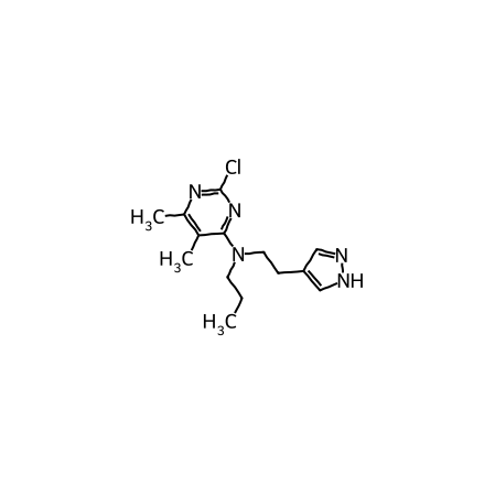 CCCN(CCc1cn[nH]c1)c1nc(Cl)nc(C)c1C